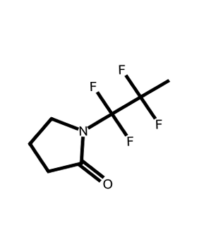 CC(F)(F)C(F)(F)N1CCCC1=O